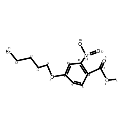 COC(=O)c1ccc(OCCCCBr)cc1[N+](=O)[O-]